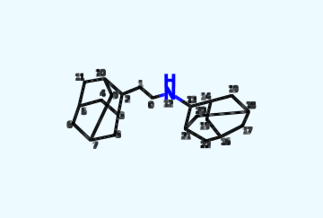 C(CC1C2CC3CC(C2)CC1C3)NC1C2CC3CC(C2)CC1C3